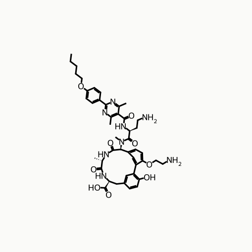 CCCCCOc1ccc(-c2nc(C)c(C(=O)N[C@@H](CCN)C(=O)N(C)[C@@H]3C(=O)N[C@@H](C)C(=O)N[C@H](C(=O)O)Cc4ccc(O)c(c4)-c4cc3ccc4OCCN)c(C)n2)cc1